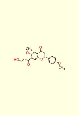 COc1ccc(C2CC(=O)c3cc(OC)c(C(=O)CCO)cc3O2)cc1